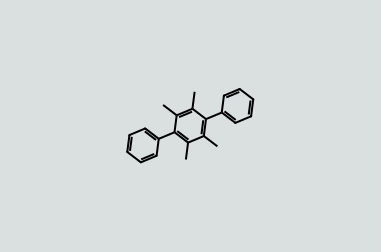 Cc1c(C)c(-c2ccccc2)c(C)c(C)c1-c1ccccc1